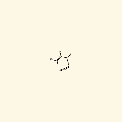 C=C=C.FC(F)=C(F)C(F)F